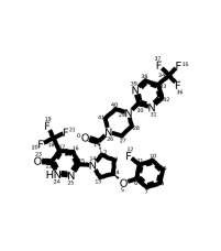 O=C([C@@H]1C[C@H](Oc2ccccc2F)CN1c1cc(C(F)(F)F)c(=O)[nH]n1)N1CCN(c2ncc(C(F)(F)F)cn2)CC1